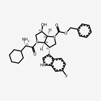 N[C@H](C(=O)N1C[C@@H](O)[C@@H]2[C@H]1[C@@H](c1c[nH]c3cc(F)ccc13)CN2C(=O)OCc1ccccc1)C1CCCCC1